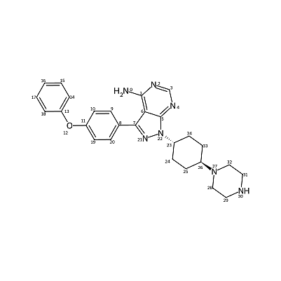 Nc1ncnc2c1c(-c1ccc(Oc3ccccc3)cc1)nn2[C@H]1CC[C@H](N2CCNCC2)CC1